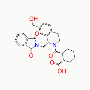 O=C(O)[C@@H]1CCCC[C@@H]1C(=O)N1CCc2ccc(CO)cc2[C@@H]1CN1C(=O)c2ccccc2C1=O